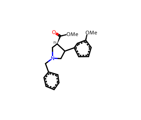 COC(=O)[C@@H]1CN(Cc2ccccc2)CC1c1cccc(OC)c1